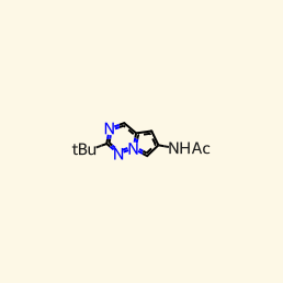 CC(=O)Nc1cc2cnc(C(C)(C)C)nn2c1